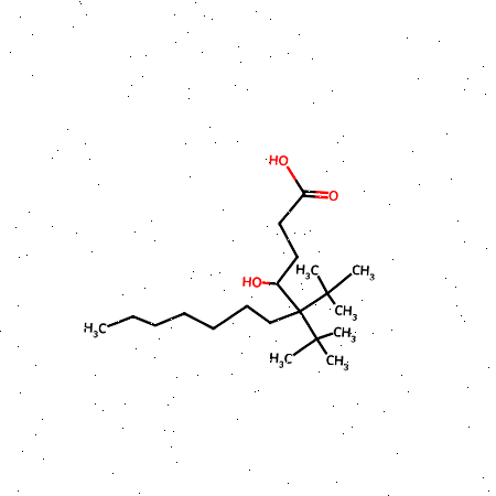 CCCCCCCC(C(O)CCC(=O)O)(C(C)(C)C)C(C)(C)C